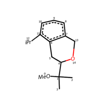 COC(C)(C)C1Cc2c(cccc2C(C)C)CO1